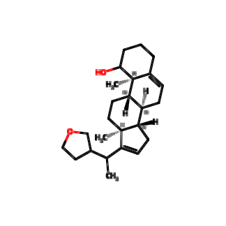 CC(C1=CC[C@H]2[C@@H]3CC=C4CCCC(O)[C@]4(C)[C@H]3CC[C@]12C)C1CCOC1